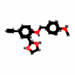 [C]#Cc1ccc(OCc2ccc(OC)cc2)c(C2OCCO2)c1